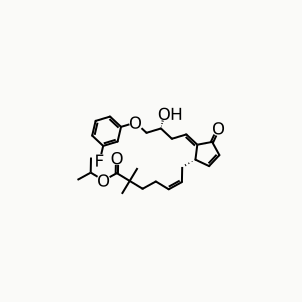 CC(C)OC(=O)C(C)(C)CC/C=C\C[C@H]1C=CC(=O)/C1=C/C[C@@H](O)COc1cccc(F)c1